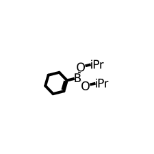 CC(C)OB(OC(C)C)C1=CCCCC1